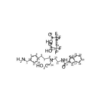 NCc1ccc(CCCN(CCNC(=O)c2cc3ccccc3s2)CC(=O)O)cc1.O=C(O)C(F)(F)F.O=C(O)C(F)(F)F